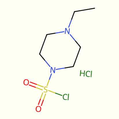 CCN1CCN(S(=O)(=O)Cl)CC1.Cl